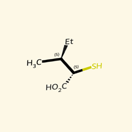 CC[C@H](C)[C@H](S)C(=O)O